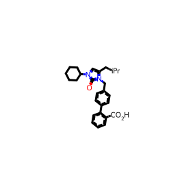 CC(C)Cc1cn(C2CCCCC2)c(=O)n1Cc1ccc(-c2ccccc2C(=O)O)cc1